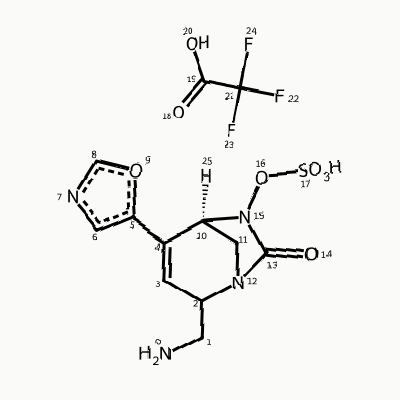 NCC1C=C(c2cnco2)[C@@H]2CN1C(=O)N2OS(=O)(=O)O.O=C(O)C(F)(F)F